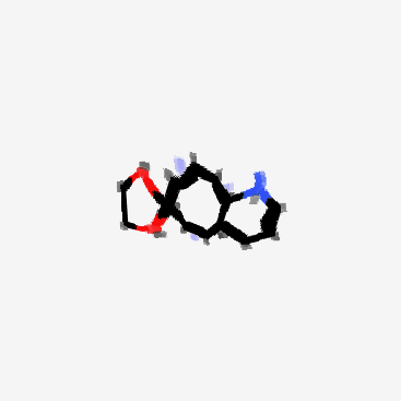 [C]1=CN/C2=C/C=C\C3(/C=C\C2=C1)OCCO3